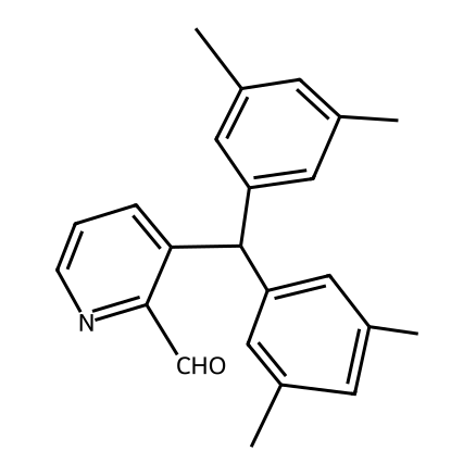 Cc1cc(C)cc(C(c2cc(C)cc(C)c2)c2cccnc2C=O)c1